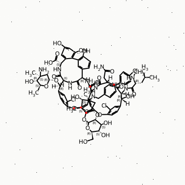 CN[C@H](CC(C)C)C(=O)N[C@H]1C(=O)N[C@@H](CC(N)=O)C(=O)N[C@H]2C(=O)N[C@H]3C(=O)N[C@H](C(=O)N[C@H](C(=O)O)c4cc(O)cc(O)c4-c4cc3ccc4O)[C@H](O[C@H]3C[C@](C)(N)[C@@H](O)[C@H](C)O3)c3ccc(c(Cl)c3)Oc3cc2cc(c3O[C@@H]2O[C@H](CO)[C@@H](O)[C@H](O)[C@H]2O[C@H]2C[C@](C)(NCc3ccc(-c4ccc(Cl)cc4)cc3)[C@H](O)[C@H](C)O2)Oc2ccc(cc2Cl)[C@H]1O